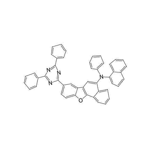 c1ccc(-c2nc(-c3ccccc3)nc(-c3ccc4oc5c6ccccc6c(N(c6ccccc6)c6cccc7ccccc67)cc5c4c3)n2)cc1